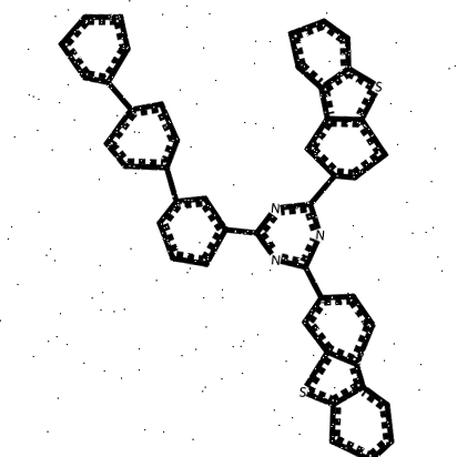 c1ccc(-c2ccc(-c3cccc(-c4nc(-c5ccc6c(c5)sc5ccccc56)nc(-c5ccc6sc7ccccc7c6c5)n4)c3)cc2)cc1